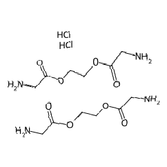 Cl.Cl.NCC(=O)OCCOC(=O)CN.NCC(=O)OCCOC(=O)CN